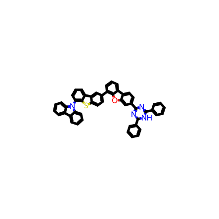 c1ccc(C2=NC(c3ccc4c(c3)oc3c(-c5ccc6sc7c(-n8c9ccccc9c9ccccc98)cccc7c6c5)cccc34)=NC(c3ccccc3)N2)cc1